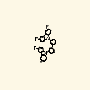 FC1=Cc2c(n(C3=CCCC(c4cccc(-n5c6ccc(F)cc6c6cc(F)ccc65)c4)=C3)c3ccc(F)cc23)CC1